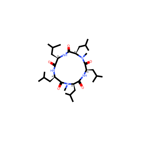 CC(C)C[C@@H]1C(=O)N[C@H](CC(C)C)C(=O)N[C@H](CC(C)C)C(=O)N(C)[C@H](CC(C)C)C(=O)N[C@H](CC(C)C)C(=O)N1C